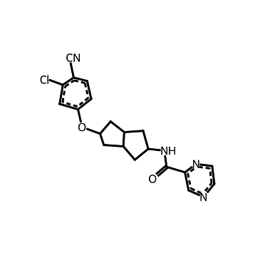 N#Cc1ccc(OC2CC3CC(NC(=O)c4cnccn4)CC3C2)cc1Cl